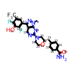 Cn1nc(-c2cc(C(F)(F)F)c(F)c(O)c2F)c2cnc(N3CCO[C@@H](Cc4ccc(C(N)=O)cc4)C3)nc21